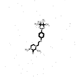 C[C@@H]1C(=O)N(C)CCN1CCOc1ccc(B2OC(C)(C)C(C)(C)O2)cc1